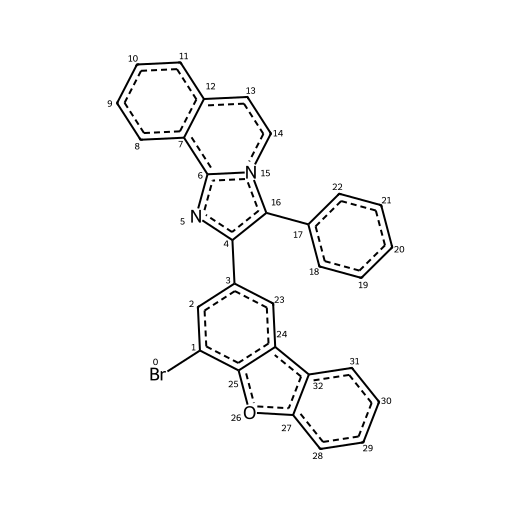 Brc1cc(-c2nc3c4ccccc4ccn3c2-c2ccccc2)cc2c1oc1ccccc12